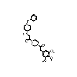 COc1cc(CC(=O)N2CCN(C(=O)CNC3CCN(Cc4ccccc4)CC3)CC2)cc(OC)c1OC